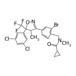 CC1C(c2ccc(CN(C)C(=O)C3CC3)c(Br)c2)=NOC1(c1cc(Cl)cc(Cl)c1)C(F)(F)F